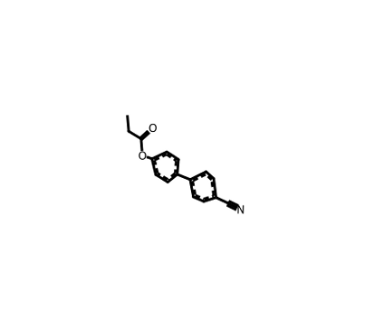 CCC(=O)Oc1ccc(-c2ccc(C#N)cc2)cc1